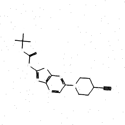 CC(C)(C)OC(=O)Nc1nc2ncc(N3CCC(C#N)CC3)nc2s1